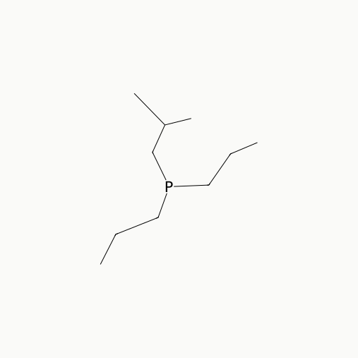 CCCP(CCC)CC(C)C